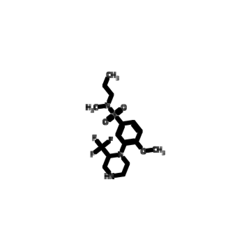 CCCN(C)S(=O)(=O)c1ccc(OC)c(N2CCNCC2C(F)(F)F)c1